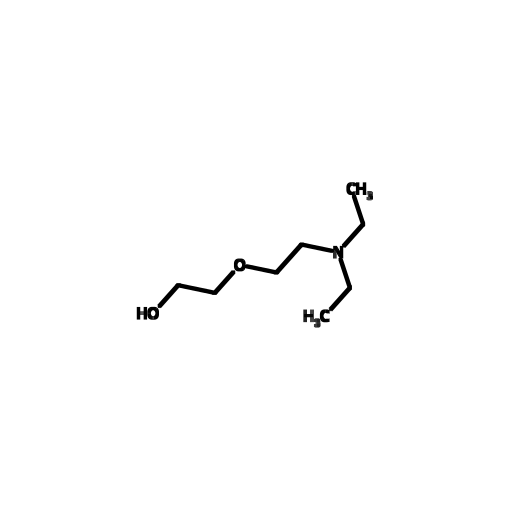 CCN(CC)CCOCCO